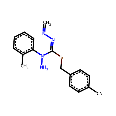 C=N/N=C(/SCc1ccc(C#N)cc1)N(N)c1ccccc1C